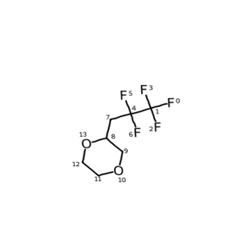 FC(F)(F)C(F)(F)CC1COCCO1